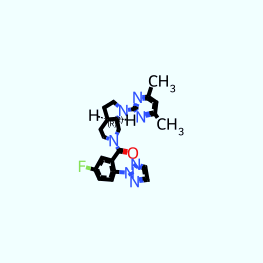 Cc1cc(C)nc(N2CC[C@@H]3CCN(C(=O)c4cc(F)ccc4-n4nccn4)C[C@@H]32)n1